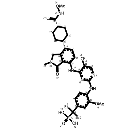 CCC(CC)(c1ccc(Nc2ncc(C(F)(F)F)c(Nc3ccc([C@H]4CC[C@@H](C(=O)NOC)CC4)c4c3C(=O)N(C)C4)n2)c(OC)c1)P(=O)(O)O